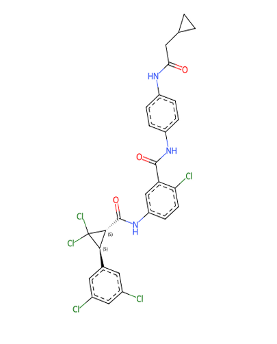 O=C(CC1CC1)Nc1ccc(NC(=O)c2cc(NC(=O)[C@@H]3[C@@H](c4cc(Cl)cc(Cl)c4)C3(Cl)Cl)ccc2Cl)cc1